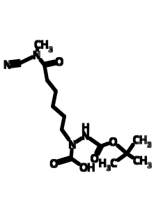 CN(C#N)C(=O)CCCCCN(NC(=O)OC(C)(C)C)C(=O)O